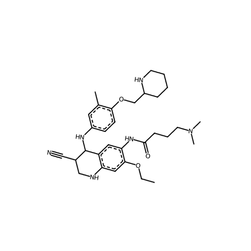 CCOc1cc2c(cc1NC(=O)CCCN(C)C)C(Nc1ccc(OCC3CCCCN3)c(C)c1)C(C#N)CN2